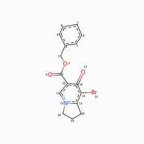 O=C(OCc1ccccc1)c1cn2c(c(Br)c1=O)CCC2